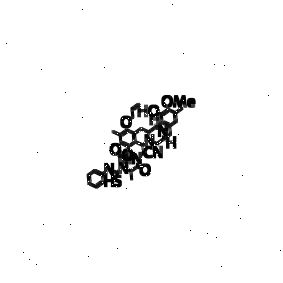 C=CCOc1c(C)c2c(c3c1CC1[C@H]4c5c(cc(C)c(OC)c5O)C[C@@H]([C@H](C#N)N1[C@H]3CNC(=O)C(C)NC(=S)Nc1ccccc1)N4C)OCO2